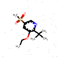 CCOc1cc(S(C)(=O)=O)cnc1C(C)(C)C